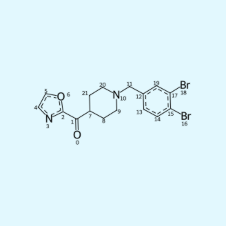 O=C(c1ncco1)C1CCN(Cc2ccc(Br)c(Br)c2)CC1